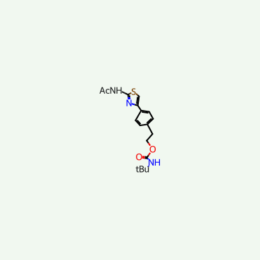 CC(=O)Nc1nc(-c2ccc(CCOC(=O)NC(C)(C)C)cc2)cs1